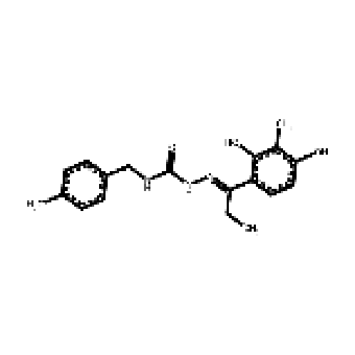 CC/C(=N\NC(=O)NCc1ccc(C)cc1)c1ccc(O)c(C)c1O